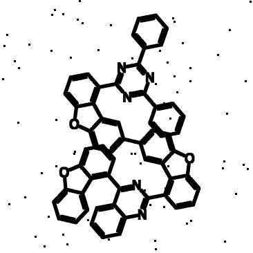 c1ccc(-c2nc(-c3ccccc3)nc(-c3cccc4oc5ccc(-c6ccc7oc8cccc(-c9nc(-c%10cccc%11oc%12ccccc%12c%10%11)c%10ccccc%10n9)c8c7c6)cc5c34)n2)cc1